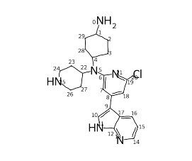 NC1CCC(N(c2cc(-c3c[nH]c4ncccc34)cc(Cl)n2)C2CCNCC2)CC1